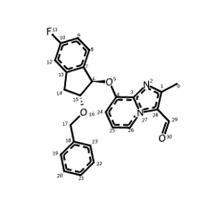 Cc1nc2c(O[C@@H]3c4ccc(F)cc4C[C@H]3OCc3ccccc3)cccn2c1C=O